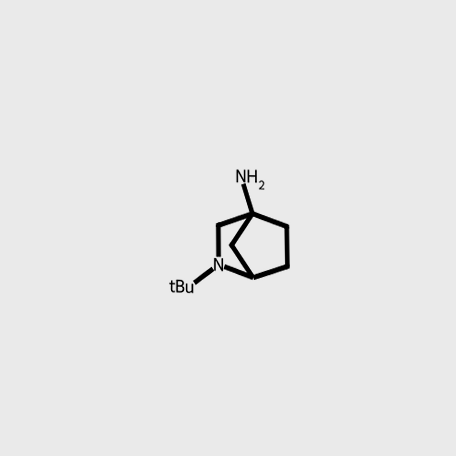 CC(C)(C)N1CC2(N)CCC1C2